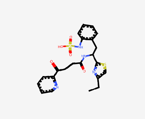 CCc1csc(C(Cc2ccccc2NS(=O)(=O)O)NC(=O)CCC(=O)c2ccccn2)n1